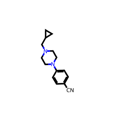 N#Cc1ccc(N2CCN(CC3CC3)CC2)cc1